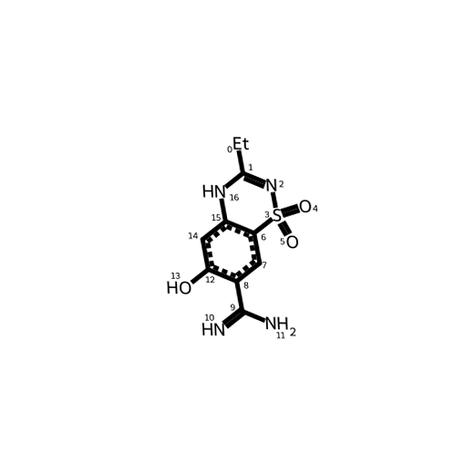 CCC1=NS(=O)(=O)c2cc(C(=N)N)c(O)cc2N1